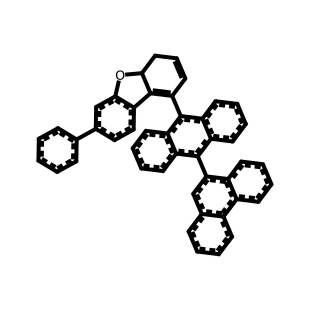 C1=CC(c2c3ccccc3c(-c3cc4ccccc4c4ccccc34)c3ccccc23)=C2c3ccc(-c4ccccc4)cc3OC2C1